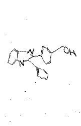 OCc1ccc(-c2nc3ccccc3nc2-c2ccccc2)cc1